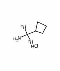 Cl.[2H]C([2H])(N)C1CCC1